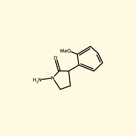 COc1ccccc1C1CCN(N)C1=O